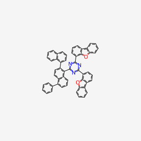 c1ccc(-c2cccc3c(-c4nc(-c5cccc6c5oc5ccccc56)nc(-c5cccc6c5oc5ccccc56)n4)c(-c4cccc5ccccc45)ccc23)cc1